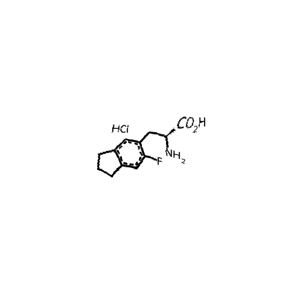 Cl.N[C@@H](Cc1cc2c(cc1F)CCC2)C(=O)O